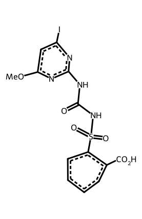 COc1cc(I)nc(NC(=O)NS(=O)(=O)c2ccccc2C(=O)O)n1